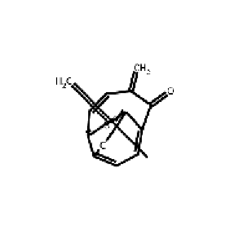 C=C1/C=C2\C=C/C(=C)C(=O)C3=CC=C2CC=C3O1